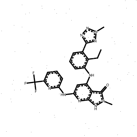 CCc1c(Nc2cc(Nc3cccc(C(F)(F)F)n3)nc3[nH]n(C)c(=O)c23)cccc1-c1nnn(C)n1